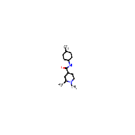 CC1CC(C(=O)NC2CCC(C(F)(F)F)CC2)CCN1C